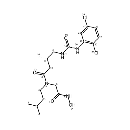 CC(C)CCN(CC(=O)NO)C(=O)C[C@H](C)CNC(=O)Nc1cc(Cl)ccc1Cl